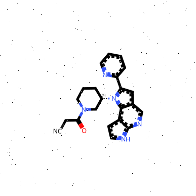 N#CCC(=O)N1CCC[C@H](n2c(-c3ccccn3)cc3cnc4[nH]ccc4c32)C1